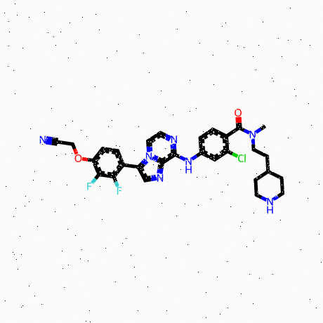 CN(CCC1CCNCC1)C(=O)c1ccc(Nc2nccn3c(-c4ccc(OCC#N)c(F)c4F)cnc23)cc1Cl